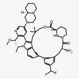 CCn1c(-c2cc(N3CCN4CCCC[C@@H]4C3)cnc2[C@H](C)OC)c2c3cc(ccc31)-c1cc(cc(C(F)F)c1)C[C@H](N)C(=O)N1CCC[C@H](N1)C(=O)OCC(C)(C)C2